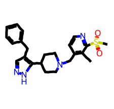 Cc1c(CN2CCC(c3[nH]ncc3Cc3ccccc3)CC2)ccnc1S(C)(=O)=O